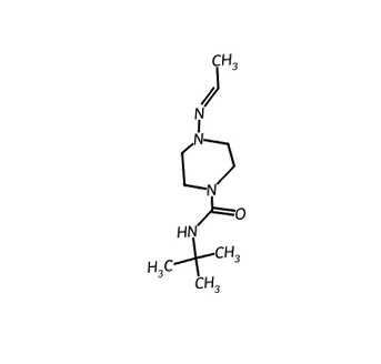 C/C=N/N1CCN(C(=O)NC(C)(C)C)CC1